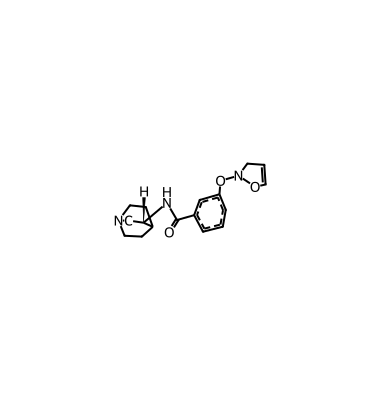 O=C(N[C@H]1CN2CCC1CC2)c1cccc(ON2CC=CO2)c1